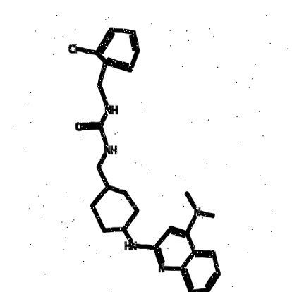 CN(C)c1cc(NC2CCC(CNC(=O)NCc3ccccc3Cl)CC2)nc2ccccc12